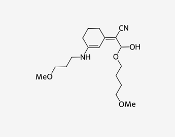 COCCCCOC(O)/C(C#N)=C1\C=C(NCCCOC)CCC1